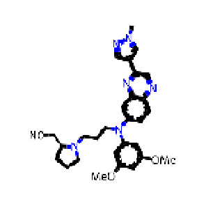 COc1cc(OC)cc(N(CCCN2CCC[C@H]2CC#N)c2ccc3ncc(-c4cnn(C)c4)nc3c2)c1